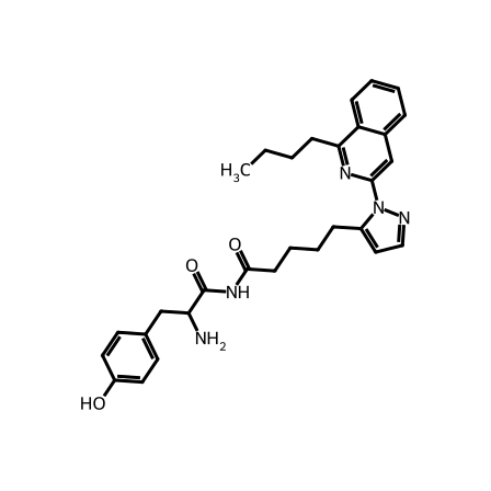 CCCCc1nc(-n2nccc2CCCCC(=O)NC(=O)C(N)Cc2ccc(O)cc2)cc2ccccc12